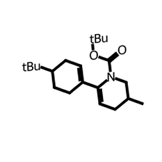 CC1CC=C(C2=CCC(C(C)(C)C)CC2)N(C(=O)OC(C)(C)C)C1